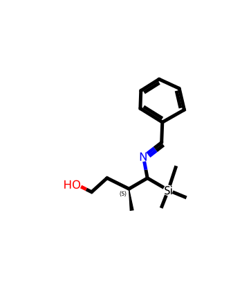 C[C@@H](CCO)C(N=Cc1ccccc1)[Si](C)(C)C